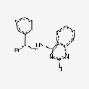 CC(C)C(CNc1nc(Cl)nc2ccccc12)c1ccccc1